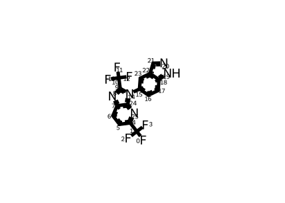 FC(F)(F)c1ccc2nc(C(F)(F)F)n(-c3ccc4[nH]ncc4c3)c2n1